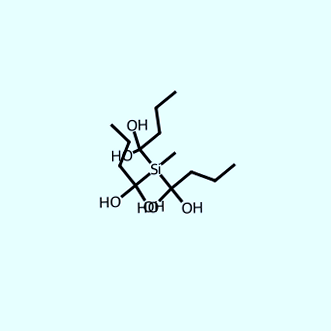 CCCC(O)(O)[Si](C)(C(O)(O)CCC)C(O)(O)CCC